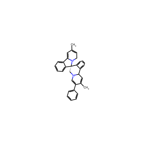 CC1=CCN2C(=C1)c1ccccc1[C@@]21CN2C=C(c3ccccc3)C(C)=CC2c2ccccc21